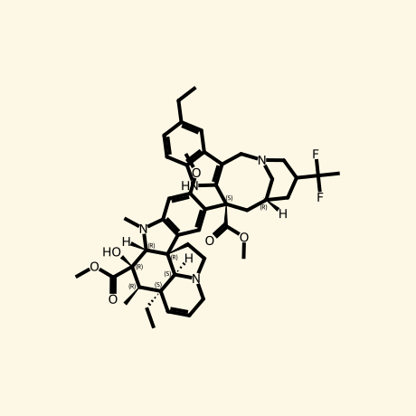 CCc1ccc2[nH]c3c(c2c1)CN1CC(C(C)(F)F)C[C@@H](C1)C[C@]3(C(=O)OC)c1cc2c(cc1OC)N(C)[C@H]1[C@@](O)(C(=O)OC)[C@H](C)[C@]3(CC)C=CCN4CC[C@]21[C@@H]43